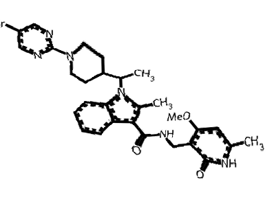 COc1cc(C)[nH]c(=O)c1CNC(=O)c1c(C)n(C(C)C2CCN(c3ncc(Br)cn3)CC2)c2ccccc12